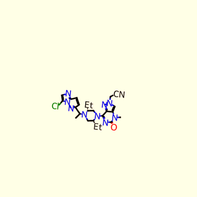 CC[C@H]1CN(C(C)c2ccc3ncc(Cl)n3n2)[C@H](CC)CN1c1nc(=O)n(C)c2cn(CC#N)nc12